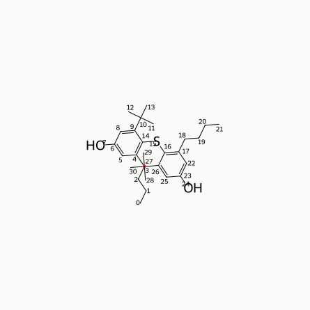 CCCCc1cc(O)cc(C(C)(C)C)c1Sc1c(CCCC)cc(O)cc1C(C)(C)C